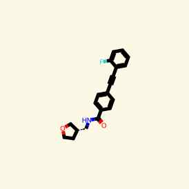 O=C(NC[C@@H]1CCOC1)c1ccc(C#Cc2ccccc2F)cc1